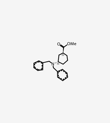 COC(=O)[C@H]1CCC[C@H](N(Cc2ccccc2)Cc2ccccc2)C1